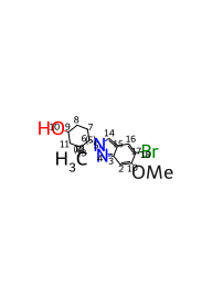 COc1cc2nn([C@H]3CCC(O)C[C@H]3C)cc2cc1Br